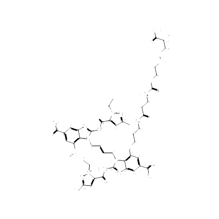 CCn1nc(C)cc1C(=O)Nc1nc2cc(C(N)=O)cc(OC)c2n1C/C=C/Cn1c(NC(=O)c2cc(C)nn2CC)nc2cc(C(N)=O)cc(OCCCNC(=O)CCNC(=O)OCCSSC[C@H](C)C(=O)O)c21